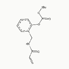 C=CC(=O)NCc1ccccc1OC(=O)OC(C)(C)C